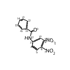 O=C(Nc1ccc([N+](=O)[O-])c([N+](=O)[O-])c1)c1ccccc1